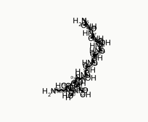 C[C@H](NC(=O)[C@H](CO)NC(=O)CNC(=O)CNC(=O)CNC(=O)CNC(=O)[C@H](CO)NC(=O)CNC(=O)CNC(=O)CNC(=O)CN)C(=O)N[C@@H](CCC(=O)O)C(=O)N[C@@H](CO)C(=O)N[C@@H](CCCCN)C(=O)O